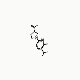 C=C(C)C1CCN(c2ccc(C(C)C)c(C)n2)C1